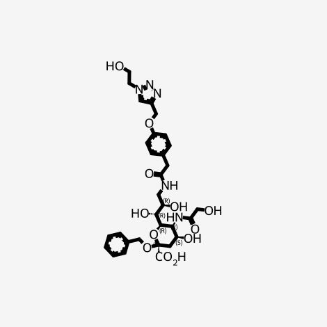 O=C(Cc1ccc(OCc2cn(CCO)nn2)cc1)NC[C@@H](O)[C@@H](O)[C@@H]1O[C@@](OCc2ccccc2)(C(=O)O)C[C@H](O)[C@H]1NC(=O)CO